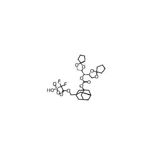 O=C(OC(C1COC2(CCCC2)O1)C1COC2(CCCC2)O1)OC12CC3CC(CC(COC(=O)C(F)(F)S(=O)(=O)O)(C3)C1)C2